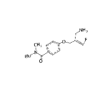 CCC(C)N(C)C(=O)c1ccc(OCC(=CF)CN)cc1